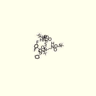 CC(C)(C)[C@H](c1cc(-c2cc(F)ccc2F)cn1Cc1ccccc1)N(CCCNC(=O)OCC[Si](C)(C)C)C(=O)CSC[C@H](NC(=O)CC[Si](C)(C)C)C(=O)O